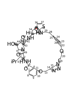 CC(C)C[C@H]1NC(=O)c2ccccc2OCc2cn(nn2)CCOc2ccc(cc2)CCNC(=O)[C@H](Cc2ccsc2)NC(=O)[C@H]2C[C@H](O)CN2C1=O